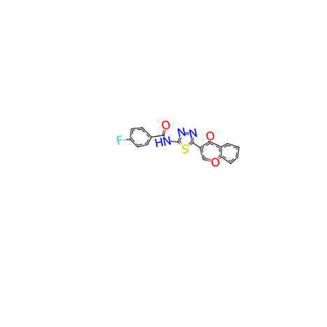 O=C(Nc1nnc(-c2coc3ccccc3c2=O)s1)c1ccc(F)cc1